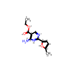 CCOC(=O)c1cnc(-c2ccc(C)o2)nc1N